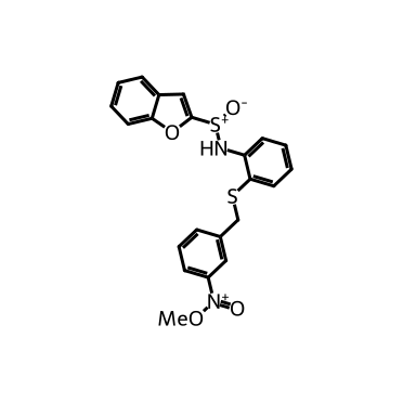 CO[N+](=O)c1cccc(CSc2ccccc2N[S+]([O-])c2cc3ccccc3o2)c1